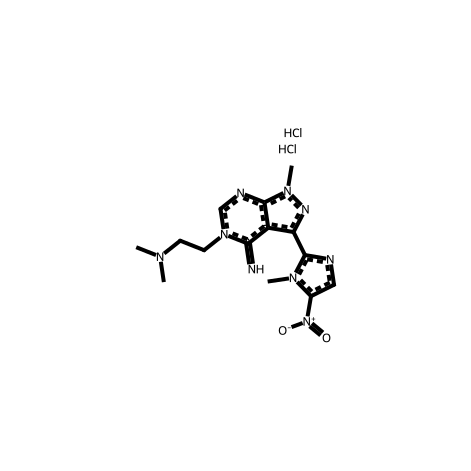 CN(C)CCn1cnc2c(c(-c3ncc([N+](=O)[O-])n3C)nn2C)c1=N.Cl.Cl